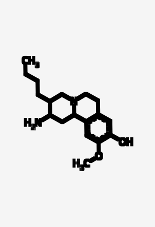 CCCCC1CN2CCc3cc(O)c(OC)cc3C2CC1N